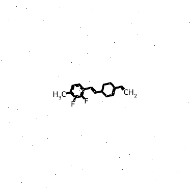 C=CC1=CCC(/C=C/c2ccc(C)c(F)c2F)CC1